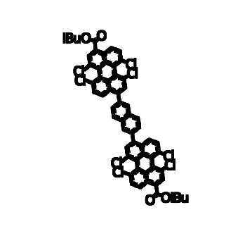 CC(C)COC(=O)c1cc(Cl)c2c3c(Cl)ccc4c(-c5ccc6cc(-c7cc(Cl)c8c9c(Cl)ccc%10c(C(=O)OCC(C)C)cc(Cl)c(c%11c(Cl)ccc7c%118)c%109)ccc6c5)cc(Cl)c(c5c(Cl)ccc1c25)c43